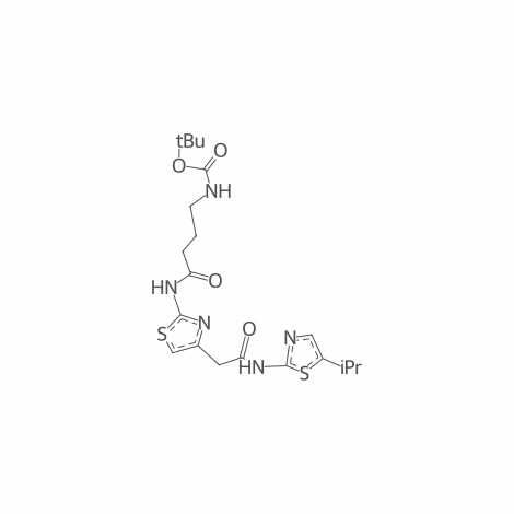 CC(C)c1cnc(NC(=O)Cc2csc(NC(=O)CCCNC(=O)OC(C)(C)C)n2)s1